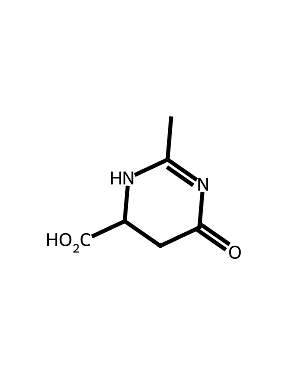 CC1=NC(=O)CC(C(=O)O)N1